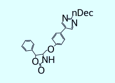 CCCCCCCCCCc1ncc(-c2ccc(OCC3NC(=O)OC3c3ccccc3)cc2)cn1